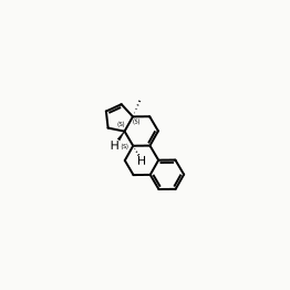 C[C@@]12C=CC[C@H]1[C@@H]1CCc3ccccc3C1=CC2